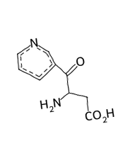 NC(CC(=O)O)C(=O)c1cccnc1